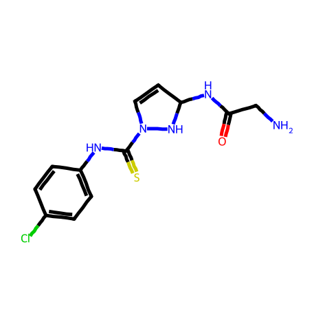 NCC(=O)NC1C=CN(C(=S)Nc2ccc(Cl)cc2)N1